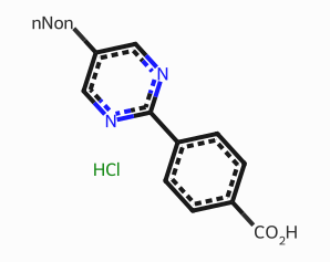 CCCCCCCCCc1cnc(-c2ccc(C(=O)O)cc2)nc1.Cl